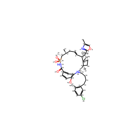 CO[C@@]1(Cc2nc(C)co2)/C=C/C[C@H](C)[C@@H](C)S(=O)(=O)NC(=O)c2ccc3c(c2)N(CCCCc2cc(Cl)ccc2CO3)C[C@@H]2CC[C@H]21